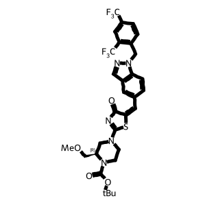 COC[C@H]1CN(C2=NC(=O)C(=Cc3ccc4c(cnn4Cc4ccc(C(F)(F)F)cc4C(F)(F)F)c3)S2)CCN1C(=O)OC(C)(C)C